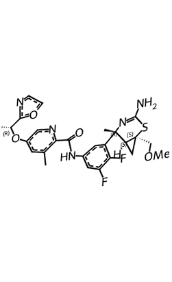 COC[C@]12C[C@H]1[C@](C)(c1cc(NC(=O)c3ncc(O[C@H](C)c4ncco4)cc3C)cc(F)c1F)N=C(N)S2